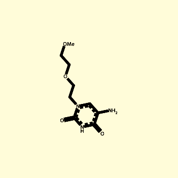 COCCOCCn1cc(N)c(=O)[nH]c1=O